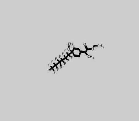 CCOC(=O)C(C)=C1C=CC(OC)(C(F)(F)C(F)(F)C(F)(F)C(F)(F)C(F)(F)C(F)(F)F)C=C1